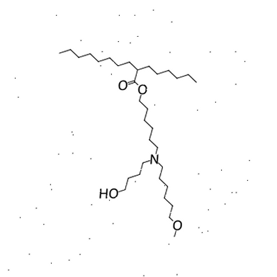 CCCCCCCCC(CCCCCC)C(=O)OCCCCCCN(CCCCO)CCCCCCOC